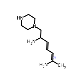 C/C(N)=C/C=CC(N)CN1CCNCC1